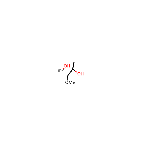 CC(C)O.COCC(C)O